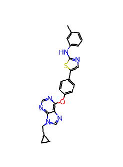 Cc1cccc(Nc2ncc(-c3ccc(Oc4ncnc5c4ncn5CC4CC4)cc3)s2)c1